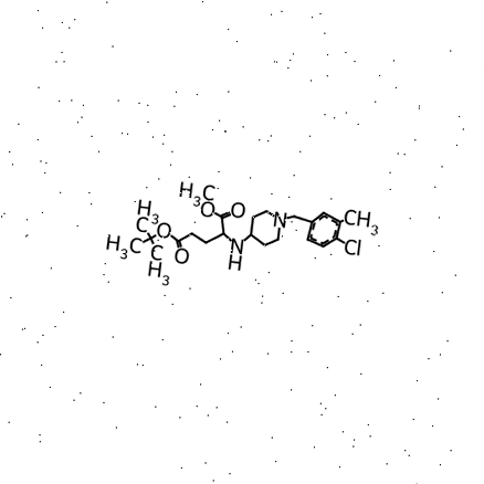 COC(=O)C(CCC(=O)OC(C)(C)C)NC1CCN(Cc2ccc(Cl)c(C)c2)CC1